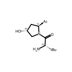 CC(=O)[C@@H]1C[C@@H](O)CN1C(=O)[C@@H](N)C(C)(C)C